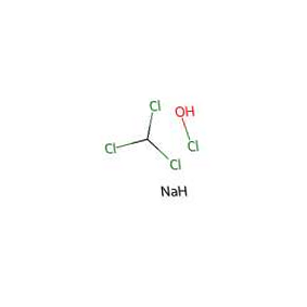 ClC(Cl)Cl.OCl.[NaH]